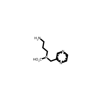 NCCCN(Cc1cnccn1)C(=O)O